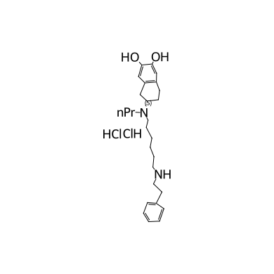 CCCN(CCCCCCNCCc1ccccc1)[C@H]1CCc2cc(O)c(O)cc2C1.Cl.Cl